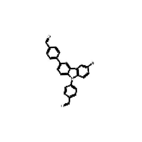 O=Cc1ccc(-c2ccc3c(c2)c2cc(Br)ccc2n3-c2ccc(C=O)cc2)cc1